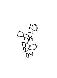 O=C(O)c1ccccc1C(=O)n1nc(C=Cc2ccccn2)c2ccccc21